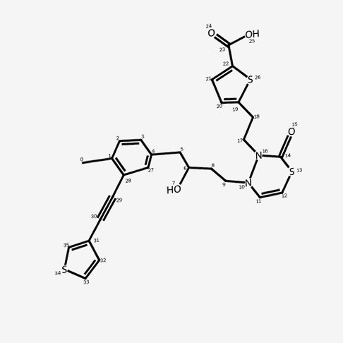 Cc1ccc(CC(O)CCN2C=CSC(=O)N2CCc2ccc(C(=O)O)s2)cc1C#Cc1ccsc1